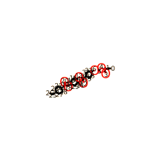 C=CC(=O)OCOc1ccc(C(=O)Oc2ccc(OC(=O)c3ccc(CC)cc3)cc2C)cc1